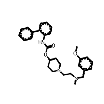 COc1cccc(CN(C)CCN2CCC(OC(=O)Nc3ccccc3-c3ccccc3)CC2)c1